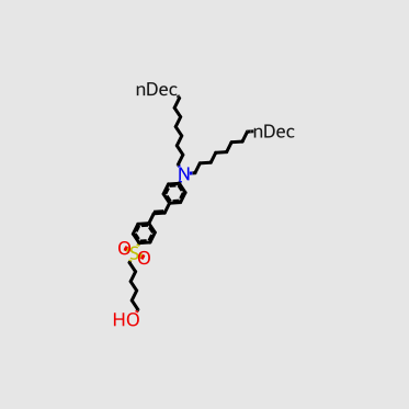 CCCCCCCCCCCCCCCCCCN(CCCCCCCCCCCCCCCCCC)c1ccc(C=Cc2ccc(S(=O)(=O)CCCCCCO)cc2)cc1